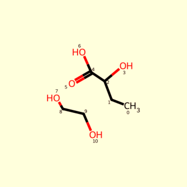 CCC(O)C(=O)O.OCCO